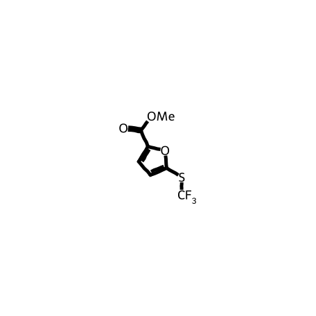 COC(=O)c1ccc(SC(F)(F)F)o1